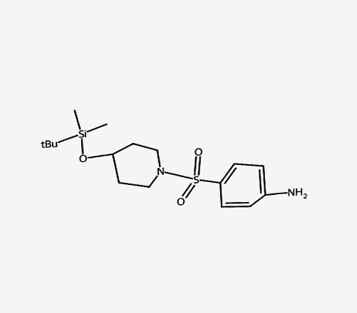 CC(C)(C)[Si](C)(C)OC1CCN(S(=O)(=O)c2ccc(N)cc2)CC1